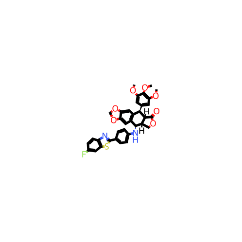 COc1cc([C@@H]2c3cc4c(cc3[C@@H](Nc3ccc(-c5nc6ccc(F)cc6s5)cc3)[C@H]3COC(=O)[C@H]23)OCO4)cc(OC)c1OC